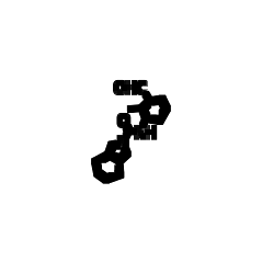 Cc1c(C=O)cccc1NC(=O)n1cc2ccccc2c1